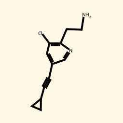 NCCc1ncc(C#CC2CC2)cc1Cl